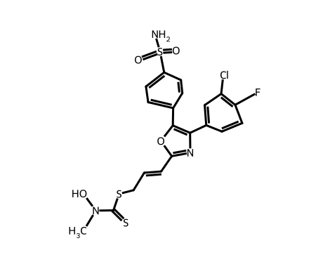 CN(O)C(=S)SCC=Cc1nc(-c2ccc(F)c(Cl)c2)c(-c2ccc(S(N)(=O)=O)cc2)o1